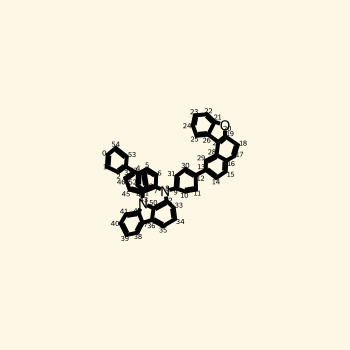 c1ccc(-c2ccc(N(c3ccc(-c4ccc5ccc6oc7ccccc7c6c5c4)cc3)c3cccc4c5ccccc5n(-c5ccccc5)c34)cc2)cc1